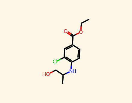 CCOC(=O)c1ccc(NC(C)CO)c(Cl)c1